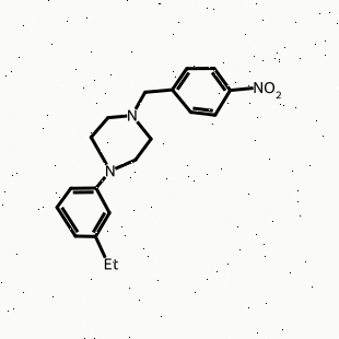 CCc1cccc(N2CCN(Cc3ccc([N+](=O)[O-])cc3)CC2)c1